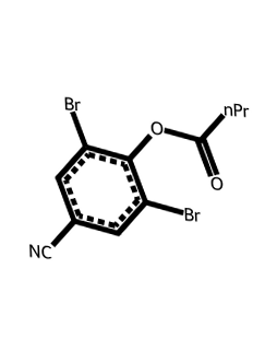 CCCC(=O)Oc1c(Br)cc(C#N)cc1Br